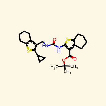 CC(C)(C)OC(=O)c1c(NC(=O)NCc2c(C3CC3)sc3c2CCCC3)sc2c1CCCC2